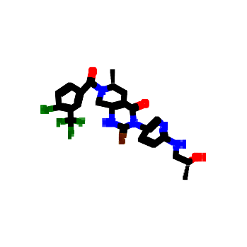 C[C@@H]1Cc2c([nH]c(=S)n(-c3ccc(NC[C@@H](C)O)nc3)c2=O)CN1C(=O)c1ccc(Br)c(C(F)(F)F)c1